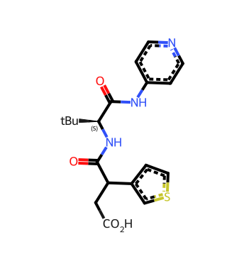 CC(C)(C)[C@H](NC(=O)C(CC(=O)O)c1ccsc1)C(=O)Nc1ccncc1